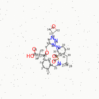 Cc1ccc([C@@H](OCc2cn(C3COC3)nn2)C(C)(C)C(=O)O)cc1CN1C[C@@H](C)Cc2ccncc2S1(=O)=O